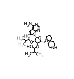 CC(C)C(O)O[C@@H]1[C@H](OC(O)C(C)C)[C@@H](CN2CCCC23CCNCC3)O[C@H]1n1ccc2c(N)ncnc21